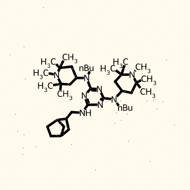 CCCCN(c1nc(NCC2CC3CCC2C3)nc(N(CCCC)C2CC(C)(C)N(C)C(C)(C)C2)n1)C1CC(C)(C)N(C)C(C)(C)C1